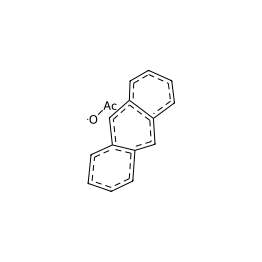 CC([O])=O.c1ccc2cc3ccccc3cc2c1